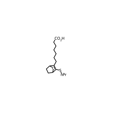 CCCSC1C2CCC(O2)C1CCCCCCC(=O)O